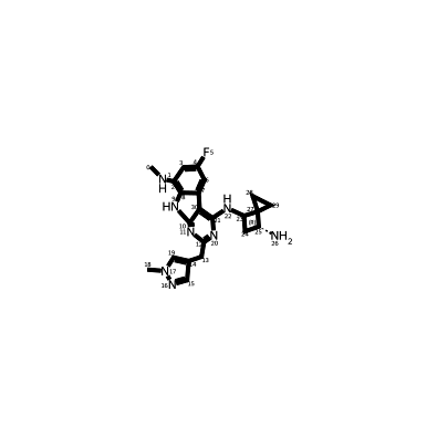 CNc1cc(F)cc2c1[nH]c1nc(Cc3cnn(C)c3)nc(NC3C[C@@H](N)C34CC4)c12